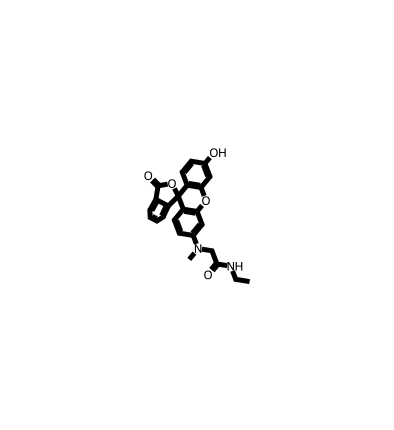 CCNC(=O)CN(C)c1ccc2c(c1)Oc1cc(O)ccc1C21OC(=O)c2ccccc21